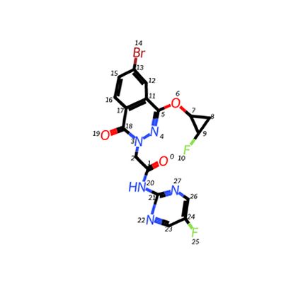 O=C(Cn1nc(OC2CC2F)c2cc(Br)ccc2c1=O)Nc1ncc(F)cn1